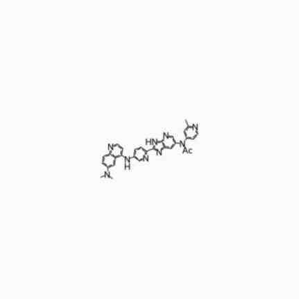 CC(=O)N(c1ccnc(C)c1)c1cnc2[nH]c(-c3ccc(Nc4ccnc5ccc(N(C)C)cc45)cn3)nc2c1